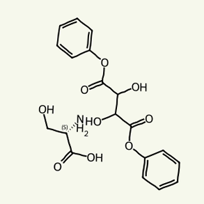 N[C@@H](CO)C(=O)O.O=C(Oc1ccccc1)C(O)C(O)C(=O)Oc1ccccc1